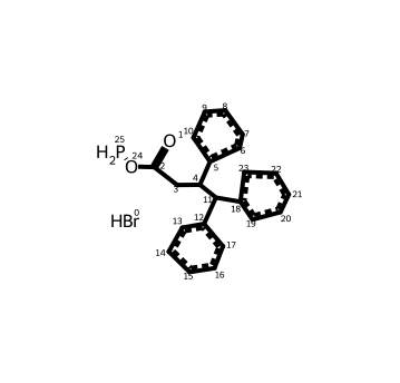 Br.O=C(CC(c1ccccc1)C(c1ccccc1)c1ccccc1)OP